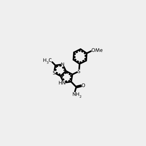 COc1cccc(Sc2c(C(N)=O)[nH]c3sc(C)nc23)c1